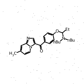 CCCCN(CCCC)C(CC)Oc1ccc(C(=O)c2cnc3cc(C)ccn23)cc1